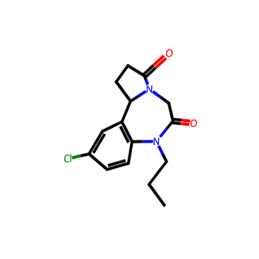 CCCN1C(=O)CN2C(=O)CCC2c2cc(Cl)ccc21